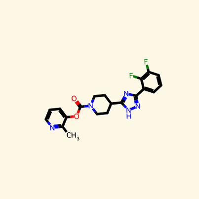 Cc1ncccc1OC(=O)N1CCC(c2nc(-c3cccc(F)c3F)n[nH]2)CC1